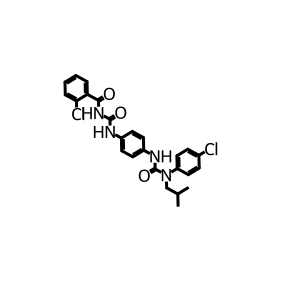 CC(C)CN(C(=O)Nc1ccc(NC(=O)NC(=O)c2ccccc2Cl)cc1)c1ccc(Cl)cc1